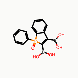 O=P1(c2ccccc2)C(B(O)O)=C(B(O)O)c2ccccc21